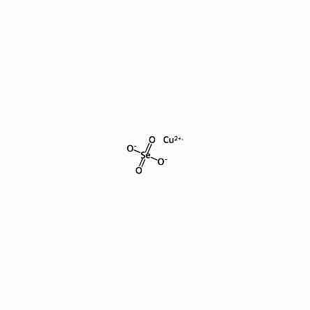 O=[Se](=O)([O-])[O-].[Cu+2]